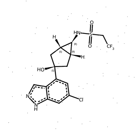 O=S(=O)(CC(F)(F)F)N[C@H]1[C@@H]2C[C@](O)(c3cc(Cl)cc4[nH]ncc34)C[C@@H]21